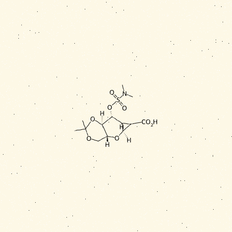 CN(C)S(=O)(=O)O[C@H]1[C@@H]2OC(C)(C)OC[C@H]2O[C@@H]2C(C(=O)O)[C@H]12